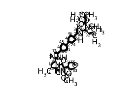 COC(=O)N[C@H](C(=O)N1[C@H](C)C(C)C[C@H]1c1ncc(-c2ccc(-c3ccc(-c4cnc([C@H](CC(C)C)N(C)C(=O)OC(C)(C)C)[nH]4)cc3)cc2)[nH]1)C1CCOCC1